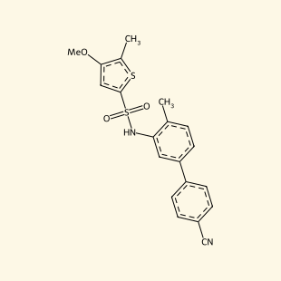 COc1cc(S(=O)(=O)Nc2cc(-c3ccc(C#N)cc3)ccc2C)sc1C